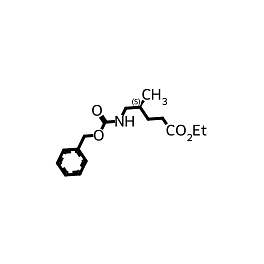 CCOC(=O)CC[C@H](C)CNC(=O)OCc1ccccc1